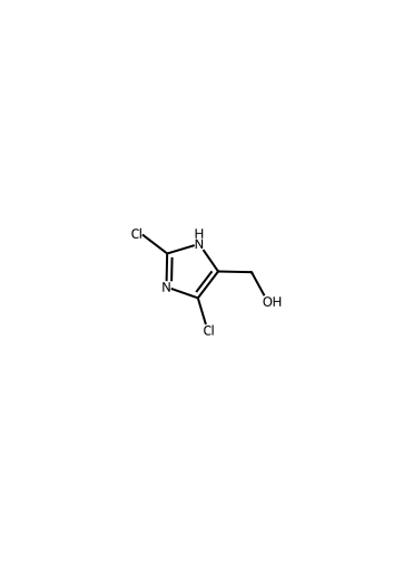 OCc1[nH]c(Cl)nc1Cl